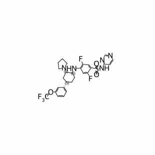 O=S(=O)(Nc1ccncn1)c1cc(F)c(N[C@H]2CC[C@H](c3cccc(OC(F)(F)F)c3)C[C@@H]2N2CCCC2)cc1F